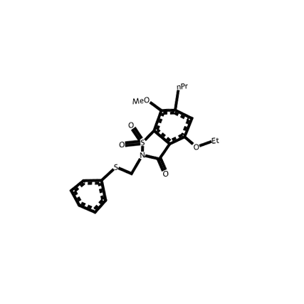 CCCc1cc(OCC)c2c(c1OC)S(=O)(=O)N(CSc1ccccc1)C2=O